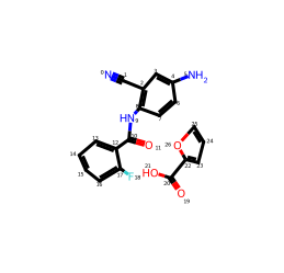 N#Cc1cc(N)ccc1NC(=O)c1ccccc1F.O=C(O)c1ccco1